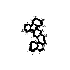 c1ccc2c(c1)ccc1ccc3cc4c5ccccc5c5ccccc5c4cc3c12